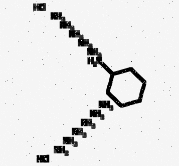 Cl.Cl.N.N.N.N.N.N.N.N.N.N.N.NC1CCCCC1